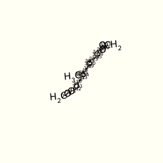 C=COCOCc1ccc(C#Cc2ccc(C#Cc3ccc(CCC4CCC(COC(=O)C=C)CC4)cc3)cc2C)cc1